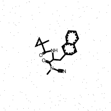 CN(C#N)C(=O)C(Cc1ccc2ccccc2c1)NC(=O)C1(C)CC1